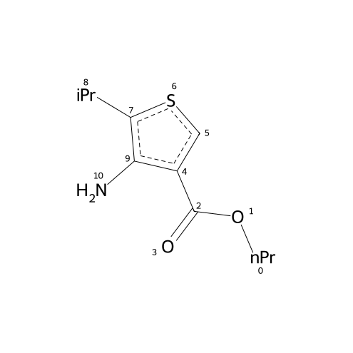 CCCOC(=O)c1csc(C(C)C)c1N